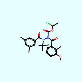 COc1cccc(C(=O)N(C(=O)OC(C)Cl)N(C(=O)c2cc(C)cc(C)c2)C(C)(C)C)c1C